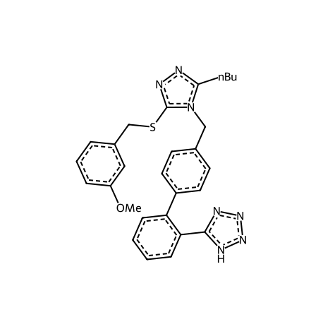 CCCCc1nnc(SCc2cccc(OC)c2)n1Cc1ccc(-c2ccccc2-c2nnn[nH]2)cc1